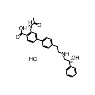 CC(=O)Nc1cc(-c2ccc(CCNC[C@H](O)c3ccccc3)cc2)ccc1C(=O)O.Cl